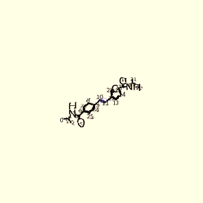 CC(C)NC(=O)c1ccc(/C=C/c2ccc(C(=O)NC(C)C)cc2)cc1